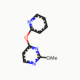 COc1nccc(Oc2cc[c]cn2)n1